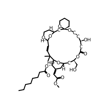 CCCCCCCC(=O)O[C@H]1/C(=C/C(=O)OC)C[C@H]2C[C@H](CO)OC(=O)C[C@H](O)CCO[C@]3(CCCCO3)C[C@@H]3CCO[C@H](/C=C/C(C)(C)[C@]1(O)O2)O3